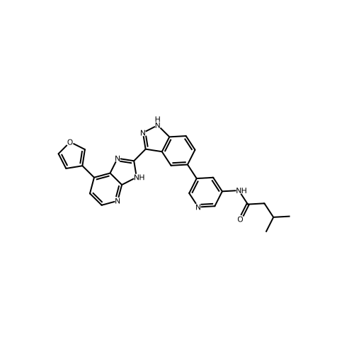 CC(C)CC(=O)Nc1cncc(-c2ccc3[nH]nc(-c4nc5c(-c6ccoc6)ccnc5[nH]4)c3c2)c1